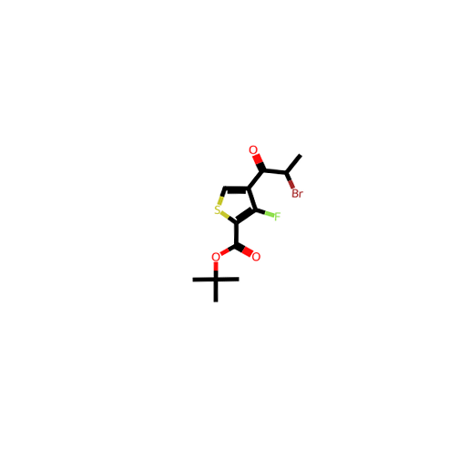 CC(Br)C(=O)c1csc(C(=O)OC(C)(C)C)c1F